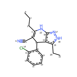 CCCC1=C(C#N)C(c2ccccc2Cl)c2c(n[nH]c2CC)N1